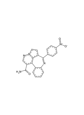 NC(=O)c1cnn2ccc3c2c1-c1ccccc1N=C3c1ccc([N+](=O)[O-])cc1